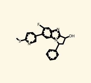 CSc1ccc(-c2cc3c(cc2F)nc2n3C(c3ccccc3)CC2O)cn1